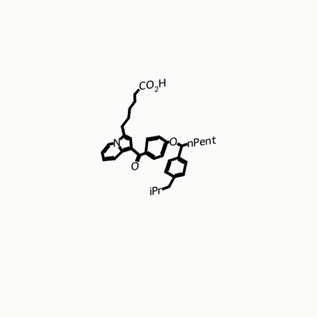 CCCCCC(Oc1ccc(C(=O)c2cc(CCCCCC(=O)O)n3ccccc23)cc1)c1ccc(CC(C)C)cc1